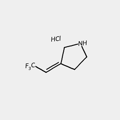 Cl.FC(F)(F)C=C1CCNC1